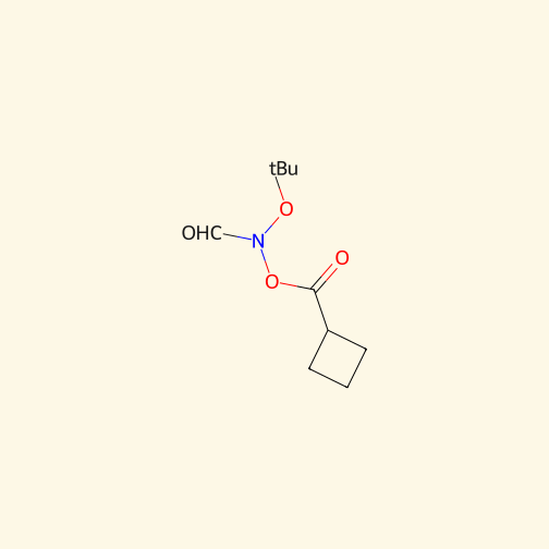 CC(C)(C)ON(C=O)OC(=O)C1CCC1